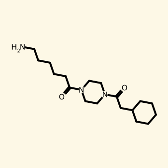 NCCCCCC(=O)N1CCN(C(=O)CC2CCCCC2)CC1